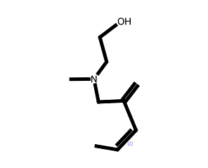 C=C(/C=C\C)CN(C)CCO